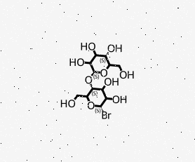 OCC1O[C@@H](O[C@@H]2C(CO)O[C@@H](Br)C(O)C2O)C(O)C(O)[C@@H]1O